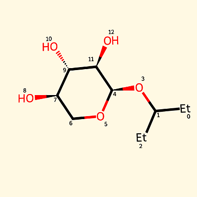 CCC(CC)O[C@H]1OC[C@@H](O)[C@H](O)[C@H]1O